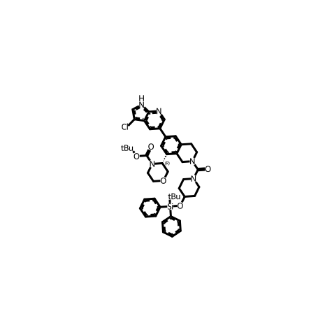 CC(C)(C)OC(=O)N1CCOC[C@H]1c1cc(-c2cnc3[nH]cc(Cl)c3c2)cc2c1CN(C(=O)N1CCC(O[Si](c3ccccc3)(c3ccccc3)C(C)(C)C)CC1)CC2